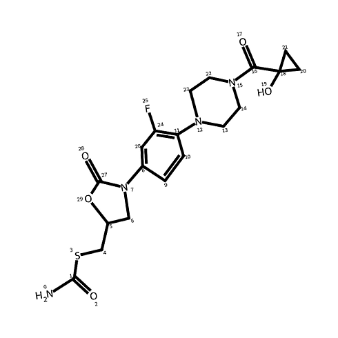 NC(=O)SCC1CN(c2ccc(N3CCN(C(=O)C4(O)CC4)CC3)c(F)c2)C(=O)O1